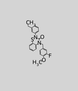 CCc1cccc(N2Sc3ccccc3N(Cc3ccc(OC)c(F)c3)C2=O)c1